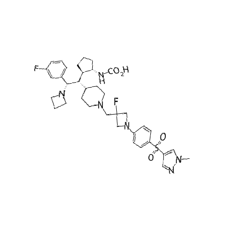 Cn1cc(S(=O)(=O)c2ccc(N3CC(F)(CN4CCC([C@@H]([C@H]5CCC[C@@H]5NC(=O)O)[C@@H](c5cccc(F)c5)N5CCC5)CC4)C3)cc2)cn1